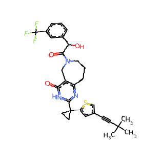 CC(C)(C)C#Cc1csc(C2(c3nc4c(c(=O)[nH]3)CN(C(=O)C(O)c3cccc(C(F)(F)F)c3)CCC4)CC2)c1